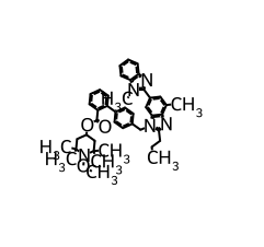 CCCc1nc2c(C)cc(-c3nc4ccccc4n3C)cc2n1Cc1ccc(-c2ccccc2C(=O)OC2CC(C)(C)N(OC)C(C)(C)C2)cc1